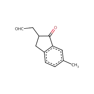 Cc1ccc2c(c1)C(=O)C(CC=O)C2